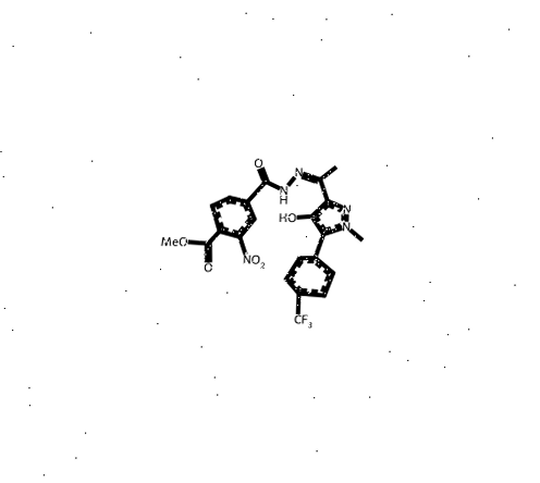 COC(=O)c1ccc(C(=O)NN=C(C)c2nn(C)c(-c3ccc(C(F)(F)F)cc3)c2O)cc1[N+](=O)[O-]